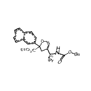 CCOC(=O)C1(c2ccc3ccccc3c2)CC([C@@H](NC(=O)OC(C)(C)C)C(C)C)=NO1